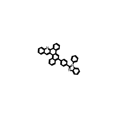 c1ccc(-n2c(-c3ccc(-c4cc5c6ccccc6c6nc7ccccc7cc6c5c5ccccc45)cc3)nc3ccccc32)cc1